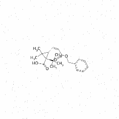 CC(C)(C)[C@]1(C(=O)O)[C@@H](/C=C\C(=O)OCc2ccccc2)C1(C)C